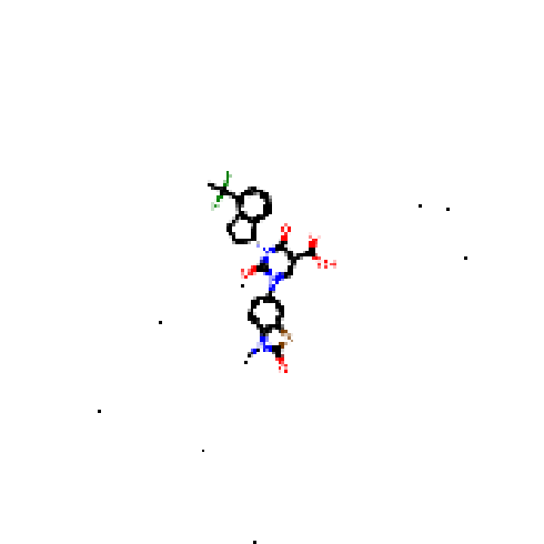 Cn1c(=O)sc2cc(-n3cc(C(=O)O)c(=O)n([C@@H]4CCc5c4cccc5C(C)(F)F)c3=O)ccc21